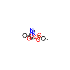 Cc1ccc(S(=O)(=O)OC[C@H]2CO[C@](Cn3nccn3)(c3ccccc3)O2)cc1